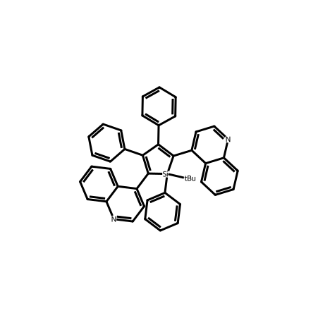 CC(C)(C)[Si]1(c2ccccc2)C(c2ccnc3ccccc23)=C(c2ccccc2)C(c2ccccc2)=C1c1ccnc2ccccc12